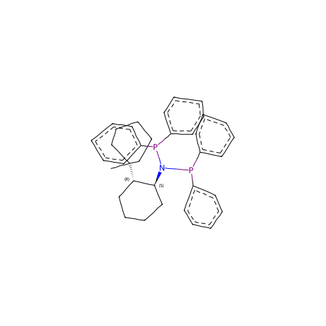 CC1([C@H]2CCCC[C@@H]2N(P(c2ccccc2)c2ccccc2)P(c2ccccc2)c2ccccc2)CCCCC1